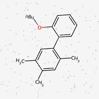 [CH2]CCCOc1ccccc1-c1cc(C)c(C)cc1C